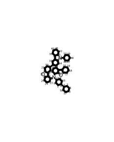 c1ccc(-c2ccc(N(c3cccc4c3oc3ccccc34)c3cccc4oc5ccc(-c6ccc7c(c6)c6ccccc6n7-c6ccccc6)cc5c34)cc2)cc1